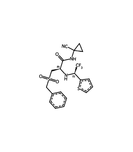 N#CC1(NC(=O)[C@H](CS(=O)(=O)Cc2ccccc2)N[C@H](c2cccs2)C(F)(F)F)CC1